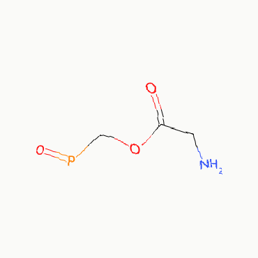 NCC(=O)OCP=O